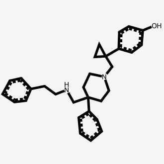 Oc1ccc(C2(CN3CCC(CNCCc4ccccc4)(c4ccccc4)CC3)CC2)cc1